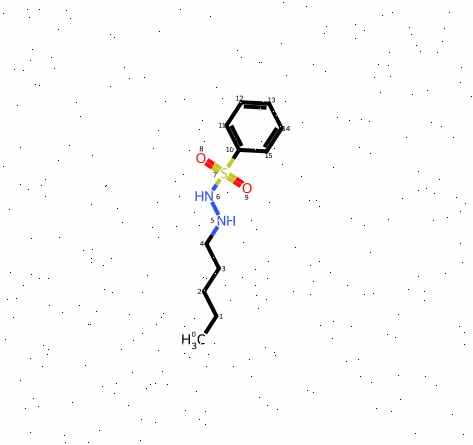 CCCCCNNS(=O)(=O)c1ccccc1